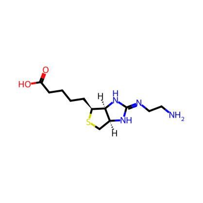 NCCN=C1N[C@H]2[C@H](CS[C@H]2CCCCC(=O)O)N1